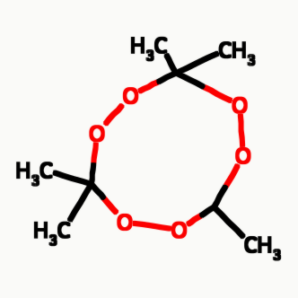 CC1OOC(C)(C)OOC(C)(C)OO1